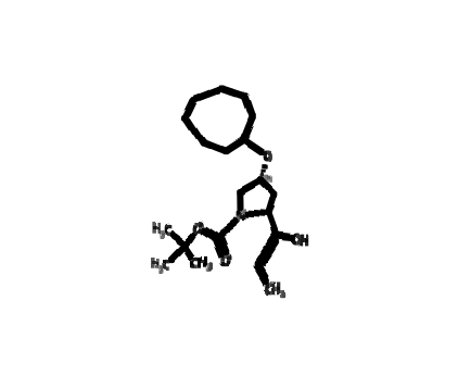 CC=C(O)C1C[C@@H](OC2CCCCCCC2)CN1C(=O)OC(C)(C)C